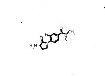 CN(C)C(=O)c1ccc(N2CC[C@H](N)C2=O)c(F)c1